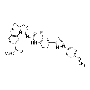 COC(=O)c1ccc(C(C)C)c(N2C(=O)CSC2=NC(=O)Nc2ccc(-c3ncn(-c4ccc(OC(F)(F)F)cc4)n3)cc2F)c1